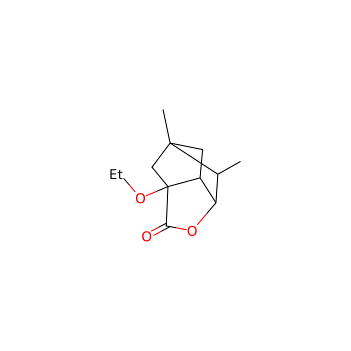 CCOC12CC3(C)CC1C(OC2=O)C3C